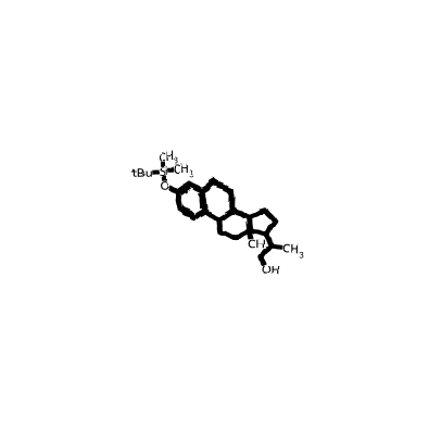 CC(CO)C1CCC2C3CCc4cc(O[Si](C)(C)C(C)(C)C)ccc4C3CCC12C